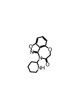 O=C1COc2cccc3onc(c23)N1C1CCCCN1